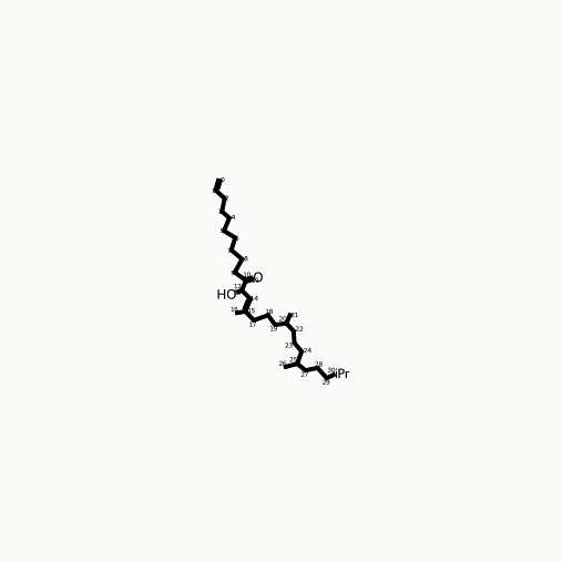 C=CCCCCCCCCC(=O)C(O)C=C(C)CCCC(C)CCCC(C)CCCC(C)C